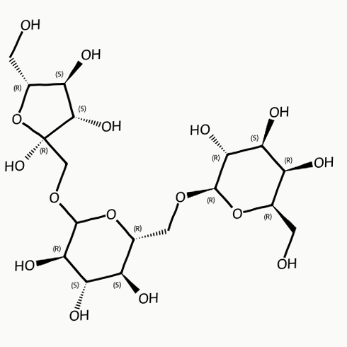 OC[C@H]1O[C@@H](OC[C@H]2OC(OC[C@@]3(O)O[C@H](CO)[C@@H](O)[C@@H]3O)[C@H](O)[C@@H](O)[C@@H]2O)[C@H](O)[C@@H](O)[C@H]1O